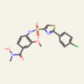 COc1cc(C(=O)N(C)O)ccc1NS(=O)(=O)c1csc(-c2ccc(F)cc2)n1